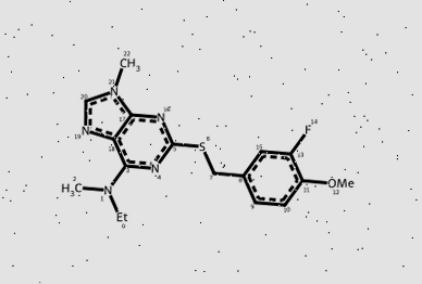 CCN(C)c1nc(SCc2ccc(OC)c(F)c2)nc2c1ncn2C